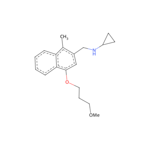 COCCCOc1cc(CNC2CC2)c(C)c2ccccc12